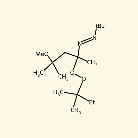 CCC(C)(C)OOC(C)(CC(C)(C)OC)/N=N/C(C)(C)C